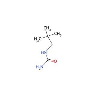 CC(C)(C)CNC(N)=O